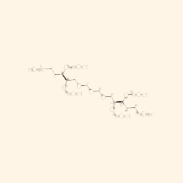 CCCCCCCCCCCCC(OCCCCCCCC)=C(COCOCOCC(OCCCCCCCC)=C(CCCCCCCCCCCC)OCCCCCCCC)OCCCCCCCC